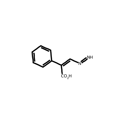 N=NC=C(C(=O)O)c1ccccc1